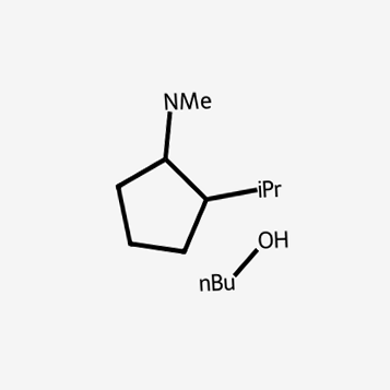 CCCCO.CNC1CCCC1C(C)C